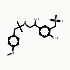 COc1ccc(CC(C)(C)NCC(O)c2ccc(O)c(CS(C)(=O)=O)c2)cc1